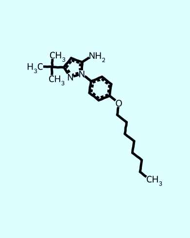 CCCCCCCCOc1ccc(-n2nc(C(C)(C)C)cc2N)cc1